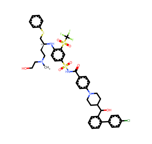 CN(CCO)CC[C@@H](CSc1ccccc1)Nc1ccc(S(=O)(=O)NC(=O)c2ccc(N3CCC(C(O)c4ccccc4-c4ccc(Cl)cc4)CC3)cc2)cc1S(=O)(=O)C(F)(F)F